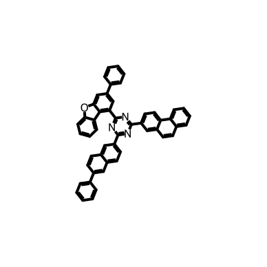 c1ccc(-c2ccc3cc(-c4nc(-c5ccc6c(ccc7ccccc76)c5)nc(-c5cc(-c6ccccc6)cc6oc7ccccc7c56)n4)ccc3c2)cc1